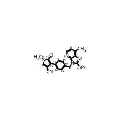 CCCc1nc2c(C)ccnc2n1Cc1ccc(-c2c(C#N)cn(C)c2Cl)cc1